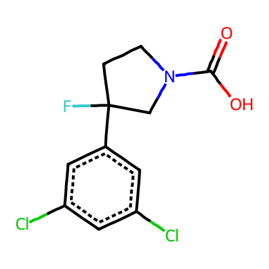 O=C(O)N1CCC(F)(c2cc(Cl)cc(Cl)c2)C1